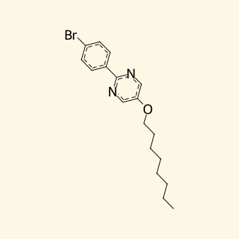 CCCCCCCCOc1cnc(-c2ccc(Br)cc2)nc1